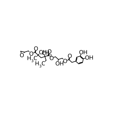 CCC(C)(CC(C)(C)C(=O)OCC1CO1)C(=O)OCC(O)COC(=O)Cc1ccc(O)c(O)c1